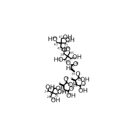 C=C(CC(=O)O)C(=O)O.C=C(CC(=O)O)C(=O)O.C=CC(=O)O.OCC(CO)(CO)CO.OCC(CO)(CO)COCC(CO)(CO)CO